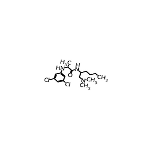 CCCCC(CN(C)C)NC(=O)[C@H](C)Nc1cc(Cl)cc(Cl)c1